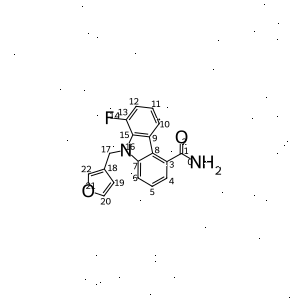 NC(=O)c1cccc2c1c1[c]ccc(F)c1n2Cc1ccoc1